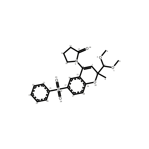 COC(OC)C1(C)C=C(N2CCCC2=O)c2cc(S(=O)(=O)c3ccccc3)ccc2O1